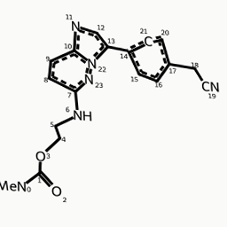 CNC(=O)OCCNc1ccc2ncc(-c3ccc(CC#N)cc3)n2n1